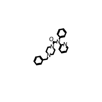 O=C(N1CCN(Cc2ccccc2)CC1)N(c1ccccc1)c1ccccn1